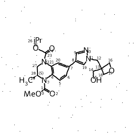 COC(=O)N1c2ccc(-c3cnn(CC4(CO)COC4)c3)cc2N(C(=O)OC(C)C)C[C@@H]1C